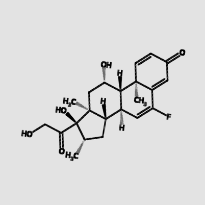 C[C@H]1C[C@H]2[C@@H]3C=C(F)C4=CC(=O)C=C[C@]4(C)[C@H]3[C@@H](O)C[C@]2(C)[C@@]1(O)C(=O)CO